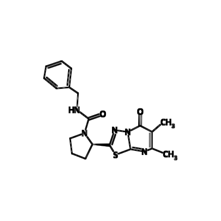 Cc1nc2sc([C@H]3CCCN3C(=O)NCc3ccccc3)nn2c(=O)c1C